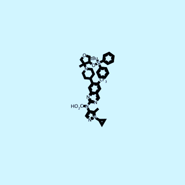 Cc1c(N(C(=O)O)c2ncc3cc(C(F)(F)F)c(C4CCN(C5(C)COCC5O[Si](c5ccccc5)(c5ccccc5)C(C)(C)C)CC4)cc3n2)cnn1C1CC1